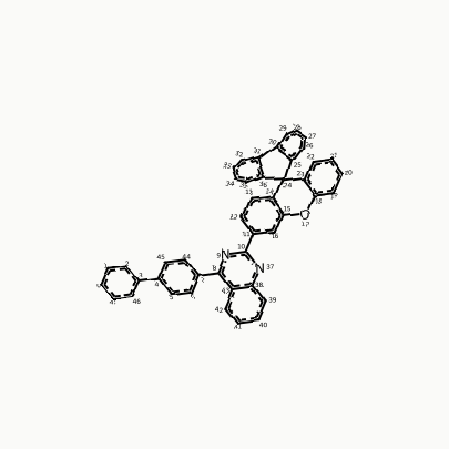 c1ccc(-c2ccc(-c3nc(-c4ccc5c(c4)Oc4ccccc4C54c5ccccc5-c5ccccc54)nc4ccccc34)cc2)cc1